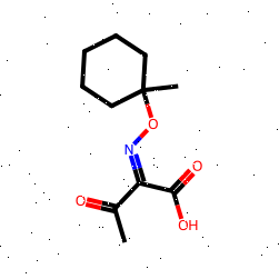 CC(=O)C(=NOC1(C)CCCCC1)C(=O)O